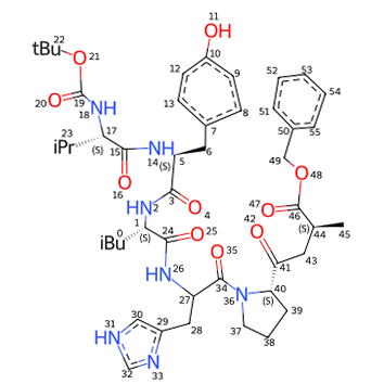 CCC(C)[C@H](NC(=O)[C@H](Cc1ccc(O)cc1)NC(=O)[C@@H](NC(=O)OC(C)(C)C)C(C)C)C(=O)NC(Cc1c[nH]cn1)C(=O)N1CCC[C@H]1C(=O)C[C@H](C)C(=O)OCc1ccccc1